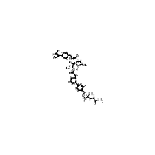 Cc1ncsc1-c1ccc(CNC(=O)[C@@H]2C[C@@H](O)CN2C(=O)[C@@H](NC(=O)Cc2cccc(-c3ccc(CO[C@H](C)[C@@H](N)CCC(N)=O)cc3)c2)C(C)(C)C)cc1